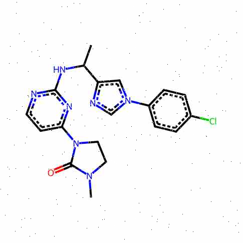 CC(Nc1nccc(N2CCN(C)C2=O)n1)c1cn(-c2ccc(Cl)cc2)cn1